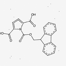 O=C(O)C1=C=C=C(C(=O)O)N1C(=O)OCC1c2ccccc2-c2ccccc21